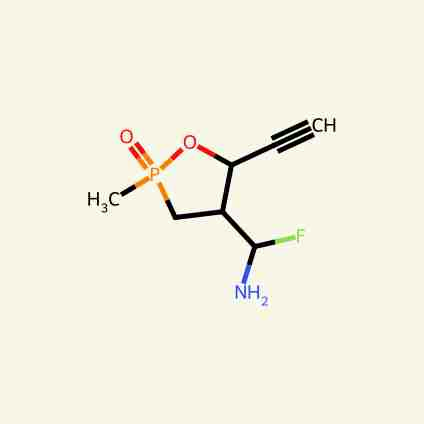 C#CC1OP(C)(=O)CC1C(N)F